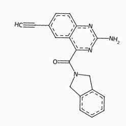 C#Cc1ccc2nc(N)nc(C(=O)N3Cc4ccccc4C3)c2c1